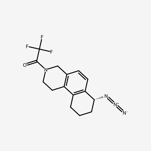 [N-]=[N+]=N[C@@H]1CCCc2c1ccc1c2CCN(C(=O)C(F)(F)F)C1